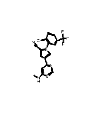 CNc1cc(-c2cc(C#N)n(-c3cc(C(F)(F)F)ccc3Cl)c2)ncn1